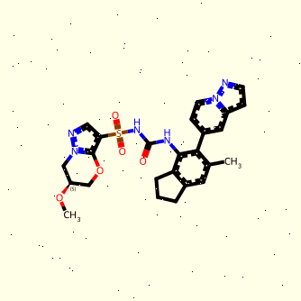 CO[C@@H]1COc2c(S(=O)(=O)NC(=O)Nc3c4c(cc(C)c3-c3ccn5nccc5c3)CCC4)cnn2C1